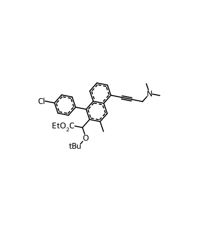 CCOC(=O)C(OC(C)(C)C)c1c(C)cc2c(C#CCN(C)C)cccc2c1-c1ccc(Cl)cc1